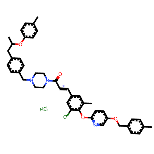 Cc1ccc(COc2ccc(Oc3c(C)cc(/C=C/C(=O)N4CCN(Cc5ccc(CC(C)Oc6ccc(C)cc6)cc5)CC4)cc3Cl)nc2)cc1.Cl